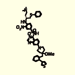 COC1(Cc2ccccc2-c2ccsc2)CCN(c2ccc3c(NS(=O)(=O)c4ccc(N[C@H](CCN(C)C)CSc5ccccc5)c([N+](=O)[O-])c4)ncnc3c2)CC1